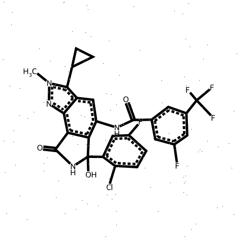 Cn1nc2c3c(c(NC(=O)c4cc(F)cc(C(F)(F)F)c4)cc2c1C1CC1)C(O)(c1cc(F)ccc1Cl)NC3=O